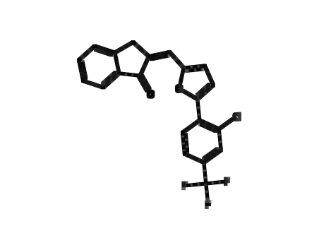 O=C1C(=Cc2ccc(-c3ccc(C(F)(F)F)cc3Cl)o2)Cc2ccccc21